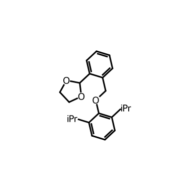 CC(C)c1cccc(C(C)C)c1OCc1ccccc1C1OCCO1